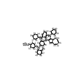 CC(C)(C)c1ccc(N(c2ccc3c(c2)N(c2ccccc2)c2cccc4c2B3C2=C(C3CC=CC=CC3=C2)N4c2ccccc2)c2ccccc2F)cc1